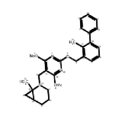 COc1nc(OCc2cccc(-c3ccccc3)c2C)nc(OC)c1CN1CCCC2CC21C(=O)O